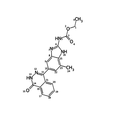 CCOC(=O)Nc1nc2cc(-c3n[nH]c(=O)c4ccccc34)cc(C)c2[nH]1